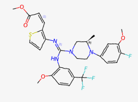 COC(=O)/C=C\c1sccc1/N=C(\Nc1cc(C(F)(F)F)ccc1OC)N1CCN(c2ccc(F)c(OC)c2)[C@H](C)C1